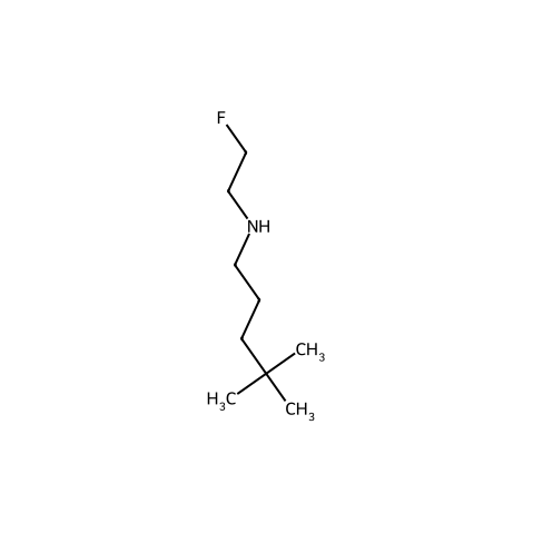 CC(C)(C)CCCNCCF